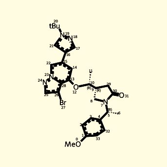 COc1ccc([C@@H](C)N2C[C@H]([C@@H](C)Oc3cc(-c4cnn(C(C)(C)C)c4)cn4ncc(Br)c34)CC2=O)cc1